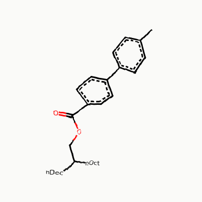 CCCCCCCCCCC(CCCCCCCC)COC(=O)c1ccc(-c2ccc(C)cc2)cc1